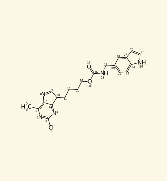 Cc1nc(Cl)nc2c1N=CC2CCCCOC(=O)NCc1ccc2[nH]ccc2c1